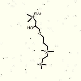 CCCC[N+](C)(C)CC(O)COCCC[Si](C)(C)CC[Si](C)(C)C